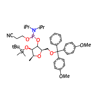 COc1ccc(C(OC[C@H]2O[C@@H](C)[C@@H](O[Si](C)(C)C(C)(C)C)C2OP(OCCC#N)N(C(C)C)C(C)C)(c2ccccc2)c2ccc(OC)cc2)cc1